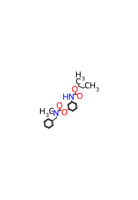 CCC(C)OC(=O)Nc1cccc(OC(=O)N(C)Cc2ccccc2)c1